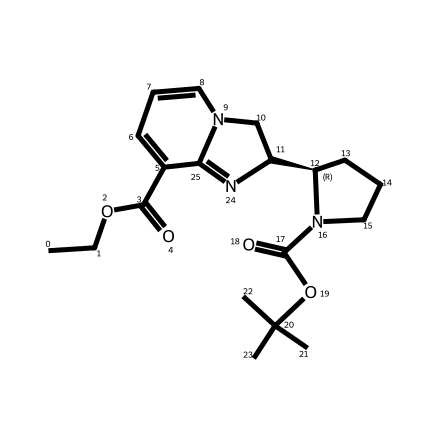 CCOC(=O)C1=CC=CN2CC([C@H]3CCCN3C(=O)OC(C)(C)C)N=C12